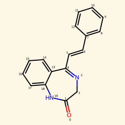 O=C1CN=C(C=Cc2ccccc2)c2ccccc2N1